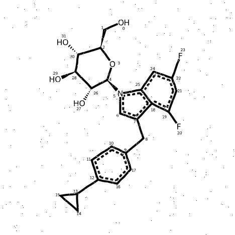 OC[C@H]1O[C@@H](n2cc(Cc3ccc(C4CC4)cc3)c3c(F)cc(F)cc32)[C@H](O)[C@@H](O)[C@@H]1O